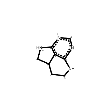 c1nc2c3c(n1)NCC3CCN2